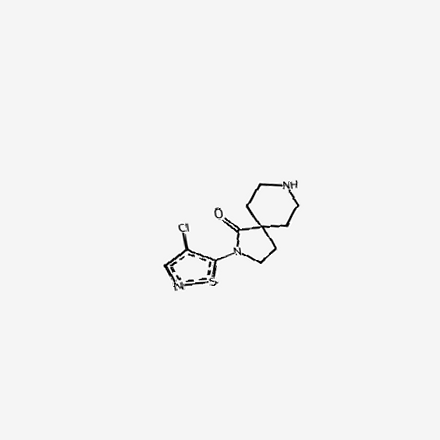 O=C1N(c2sncc2Cl)CCC12CCNCC2